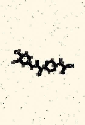 O=C(O)N[C@@H]1CC[C@@H](C(=O)NCc2ccc(Cl)c(F)c2)OC1